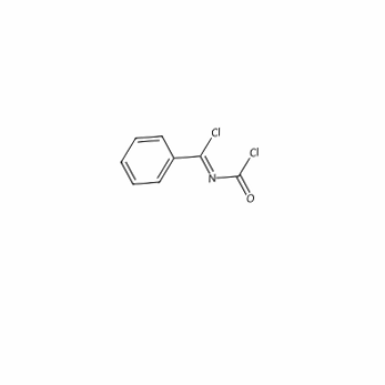 O=C(Cl)N=C(Cl)c1ccccc1